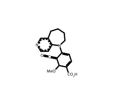 COC1C(=C=O)C(N2CCCCc3cnccc32)=CC=C1C(=O)O